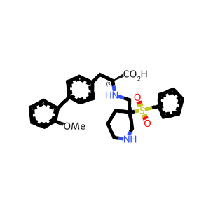 COc1ccccc1-c1ccc(C[C@H](NCC2(S(=O)(=O)c3ccccc3)CCCNC2)C(=O)O)cc1